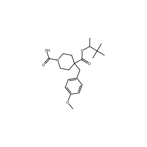 COc1ccc(CC2(C(=O)OC(C)C(C)(C)C)CCN(C(=O)O)CC2)cc1